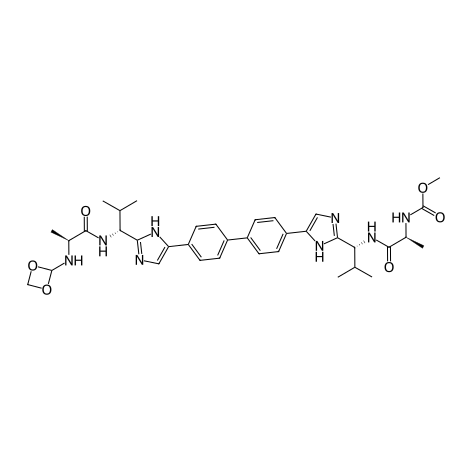 COC(=O)N[C@@H](C)C(=O)N[C@@H](c1ncc(-c2ccc(-c3ccc(-c4cnc([C@H](NC(=O)[C@H](C)NC5OCO5)C(C)C)[nH]4)cc3)cc2)[nH]1)C(C)C